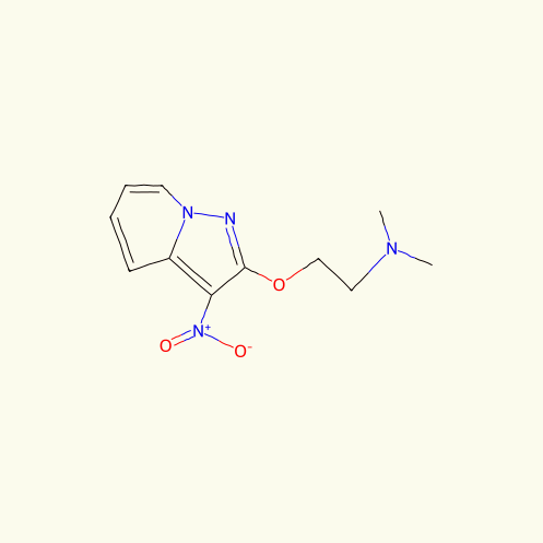 CN(C)CCOc1nn2ccccc2c1[N+](=O)[O-]